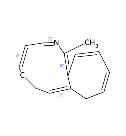 CC1=C2/C=CC=CC/C2=C/CC/C=C/C=N\1